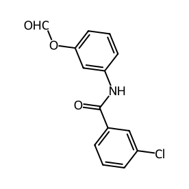 O=COc1cccc(NC(=O)c2cccc(Cl)c2)c1